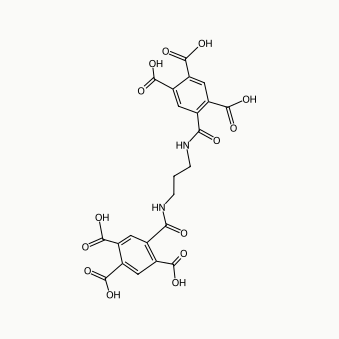 O=C(O)c1cc(C(=O)O)c(C(=O)NCCCNC(=O)c2cc(C(=O)O)c(C(=O)O)cc2C(=O)O)cc1C(=O)O